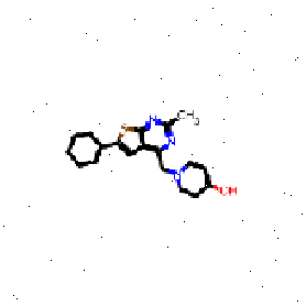 Cc1nc(CN2CCC(O)CC2)c2cc(C3CCCCC3)sc2n1